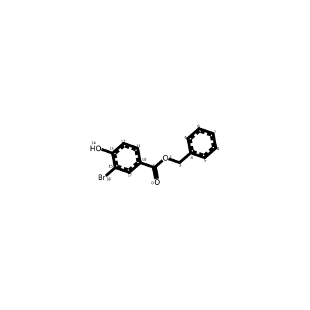 O=C(OCc1ccccc1)c1ccc(O)c(Br)c1